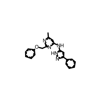 Cc1cc(Nc2cc(-c3ccccc3)n[nH]2)nc(COc2ccccc2)n1